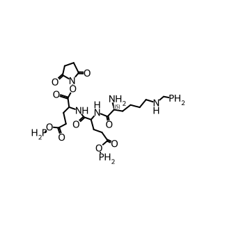 N[C@@H](CCCCNCP)C(=O)NC(CCC(=O)OP)C(=O)NC(CCC(=O)OP)C(=O)ON1C(=O)CCC1=O